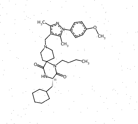 CCCCN1C(=O)[C@H](CC2CCCCC2)NC(=O)C12CCN(Cc1c(C)nn(-c3ccc(OC)cc3)c1C)CC2